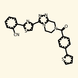 N#Cc1ccccc1-c1nc(-c2nnc3n2CCN(C(=O)c2ccc(-c4cccs4)cc2)C3)cs1